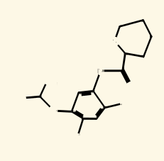 CC(C)Oc1cc(NC(=O)C2CCCCN2)c(F)cc1Cl